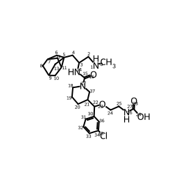 CNCC(CC12CC3CC(CC1C3)C2)NC(=O)N1CCCC(C(OCCNC(=O)O)c2cccc(Cl)c2)C1